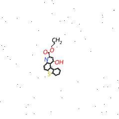 C=CCOC(=O)c1cc(O)c2c(ccc3sc4ccccc4c32)n1